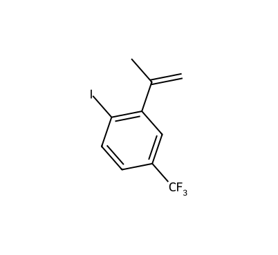 C=C(C)c1cc(C(F)(F)F)ccc1I